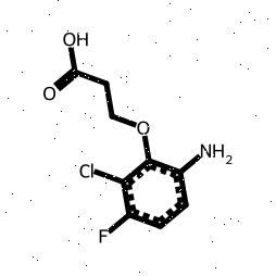 Nc1ccc(F)c(Cl)c1OCCC(=O)O